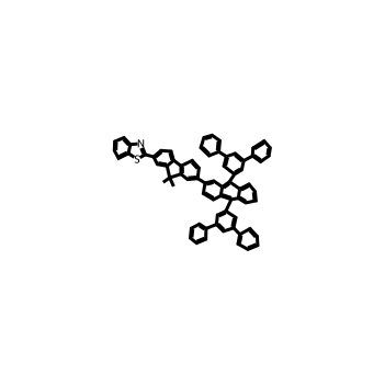 CC1(C)c2cc(-c3ccc4c(-c5cc(-c6ccccc6)cc(-c6ccccc6)c5)c5ccccc5c(-c5cc(-c6ccccc6)cc(-c6ccccc6)c5)c4c3)ccc2-c2ccc(-c3nc4ccccc4s3)cc21